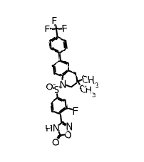 CC1(C)Cc2cc(-c3ccc(C(F)(F)F)cc3)ccc2N([S+]([O-])c2ccc(-c3noc(=O)[nH]3)c(F)c2)C1